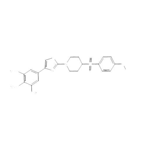 COc1cc(-c2csc(N3CCC(S(=O)(=O)c4ccc(OC(F)(F)F)cc4)CC3)n2)cc(OC)c1OC